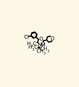 C[C@H](NC(C)(C)C)[C@@H](OC(=O)C1CCOCC1)c1cccc(Cl)c1